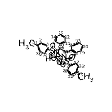 Cc1ccc(S(=O)(=O)N2[C@H](c3ccccc3)[C@@H](c3ccccc3)N(S(=O)(=O)c3ccc(C)cc3)P2(=O)O)cc1